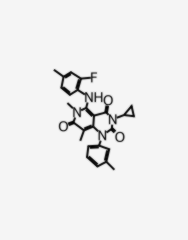 Cc1cccc(-n2c(=O)n(C3CC3)c(=O)c3c(Nc4ccc(C)cc4F)n(C)c(=O)c(C)c32)c1